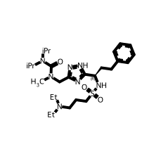 CCN(CC)CCCS(=O)(=O)N[C@H](CCc1ccccc1)c1nc(CN(C)C(=O)N(C(C)C)C(C)C)n[nH]1